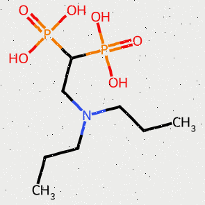 CCCN(CCC)CC(P(=O)(O)O)P(=O)(O)O